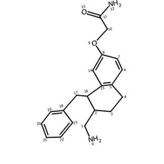 NCC1CCc2ccc(OCC(N)=O)cc2C1Cc1ccccc1